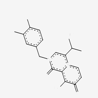 CC(C)c1cn(Cc2ccc(Cl)c(Cl)c2)c(=O)c2c(O)c(=O)ccn12.Cl